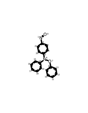 O=Nc1ccc(N(Oc2ccccc2)c2ccccc2)cc1